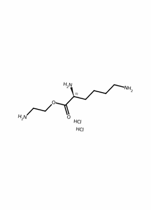 Cl.Cl.NCCCC[C@H](N)C(=O)OCCN